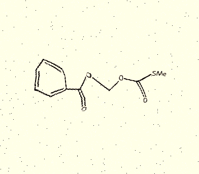 CSC(=O)OCOC(=O)c1ccccc1